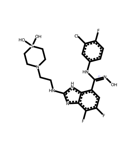 O/N=C(/Nc1ccc(F)c(Cl)c1)c1cc(F)c(F)c2nc(NCCN3CCS(O)(O)CC3)[nH]c12